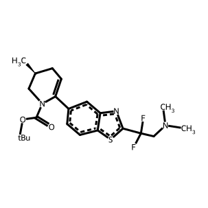 C[C@H]1CC=C(c2ccc3sc(C(F)(F)CN(C)C)nc3c2)N(C(=O)OC(C)(C)C)C1